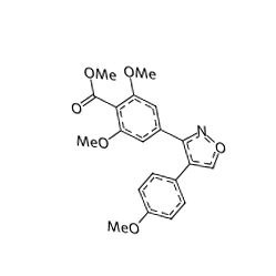 COC(=O)c1c(OC)cc(-c2nocc2-c2ccc(OC)cc2)cc1OC